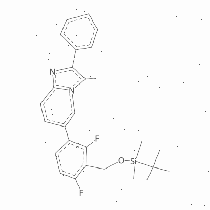 Cc1c(-c2ccccc2)nc2ccc(-c3ccc(F)c(CO[Si](C)(C)C(C)(C)C)c3F)cn12